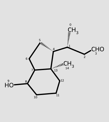 C[C@H](CC=O)[C@H]1CCC2C(O)CCC[C@@]21C